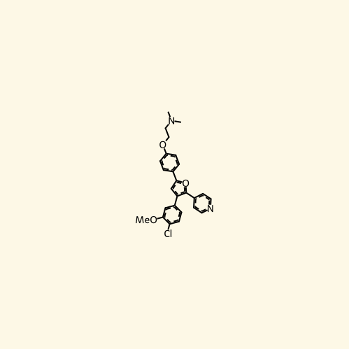 COc1cc(-c2cc(-c3ccc(OCCN(C)C)cc3)oc2-c2ccncc2)ccc1Cl